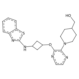 OCC1CCN(c2nccnc2OC2CC(Nc3nc4ccccc4s3)C2)CC1